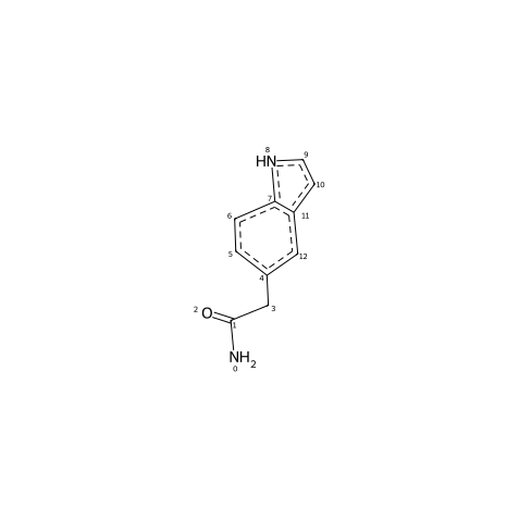 NC(=O)Cc1ccc2[nH]ccc2c1